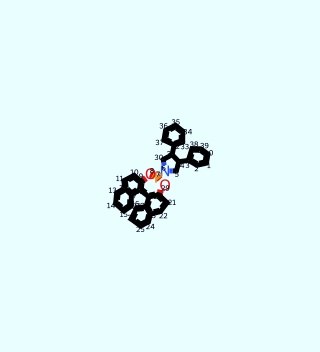 c1ccc(C2CN(p3oc4ccc5ccccc5c4c4c(ccc5ccccc54)o3)CC2c2ccccc2)cc1